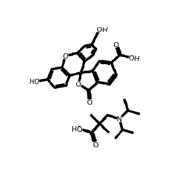 CC(C)N(CC(C)(C)C(=O)O)C(C)C.O=C(O)c1ccc2c(c1)C1(OC2=O)c2ccc(O)cc2Oc2cc(O)ccc21